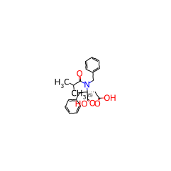 CC(C)C(=O)N(Cc1ccccc1)[C@](CC(=O)O)(Cc1ccccc1)C(=O)O